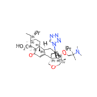 CC(C)[C@@H](C)[C@@]1(C)CC[C@]2(C)[C@H]3CC[C@@H]4[C@@]5(COC[C@@]4(C)[C@@H](OCC(C)(C(C)C)N(C)C)[C@H](n4cnnn4)C5)C3=CC(=O)[C@@]2(C)[C@@H]1C(=O)O